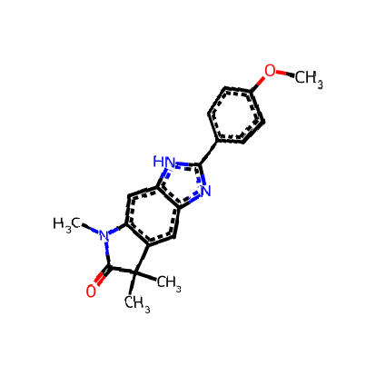 COc1ccc(-c2nc3cc4c(cc3[nH]2)N(C)C(=O)C4(C)C)cc1